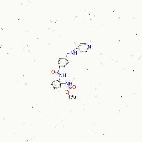 CC(C)(C)OC(=O)Nc1ccccc1NC(=O)c1ccc(CNCc2ccncc2)cc1